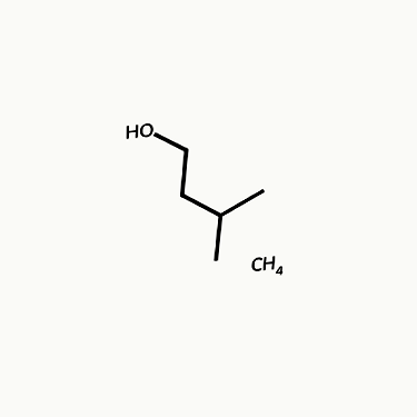 C.CC(C)CCO